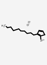 CCCCCCCCCCC1=[C]([Zr+2])CC=C1.[Cl-].[Cl-]